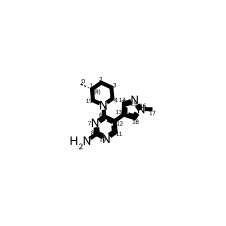 C[C@@H]1CCCN(c2nc(N)ncc2-c2cnn(C)c2)C1